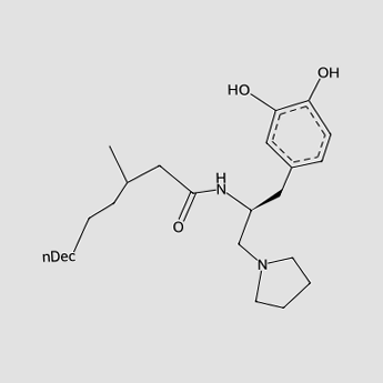 CCCCCCCCCCCCC(C)CC(=O)N[C@@H](Cc1ccc(O)c(O)c1)CN1CCCC1